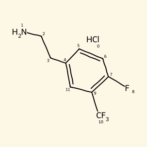 Cl.NCCc1ccc(F)c(C(F)(F)F)c1